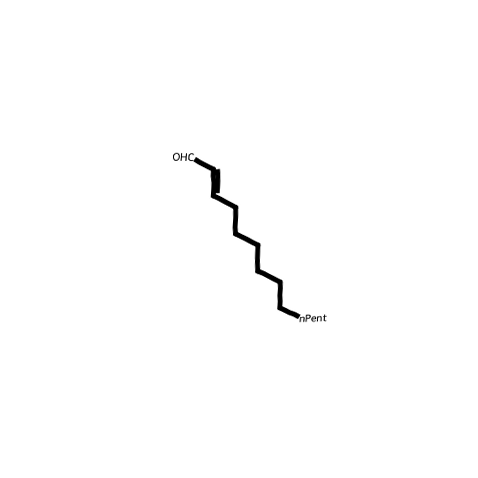 CCCCCCCCCCCC=CC=O